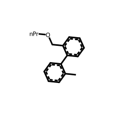 CCCOCc1ccccc1-c1ccccc1C